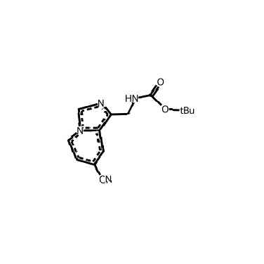 CC(C)(C)OC(=O)NCc1ncn2ccc(C#N)cc12